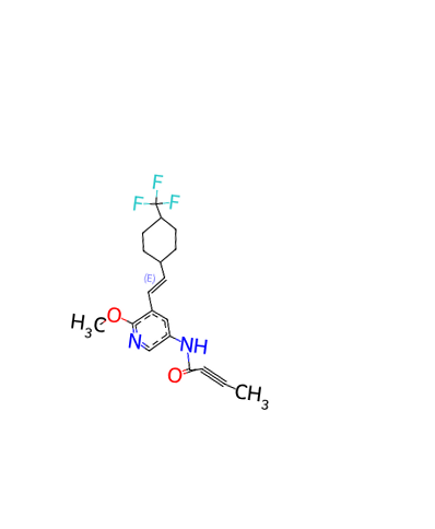 CC#CC(=O)Nc1cnc(OC)c(/C=C/C2CCC(C(F)(F)F)CC2)c1